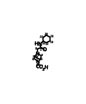 O=C(CN1CC2CC1CN2C(=O)O)NC1CCCCC1